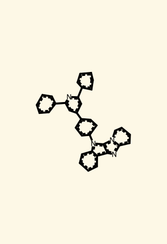 c1ccc(-c2cc(-c3ccc(-n4c5ccccc5c5nc6ccccn6c54)cc3)cc(-c3ccccc3)n2)cc1